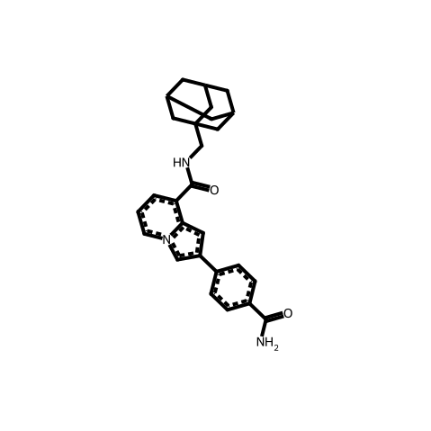 NC(=O)c1ccc(-c2cc3c(C(=O)NCC45CC6CC(CC(C6)C4)C5)cccn3c2)cc1